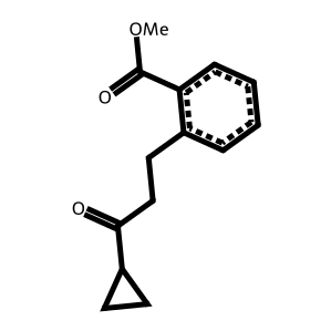 COC(=O)c1ccccc1CCC(=O)C1CC1